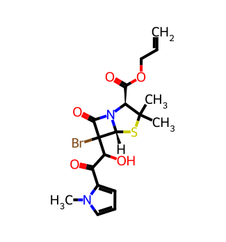 C=CCOC(=O)[C@@H]1N2C(=O)C(Br)(C(O)C(=O)c3cccn3C)[C@H]2SC1(C)C